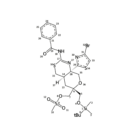 CC(C)(C)[Si](C)(C)OC[C@@]1(COS(C)(=O)=O)C[C@H]2CSC(NC(=O)c3ccccc3)=N[C@@]2(c2nc(Br)cs2)CO1